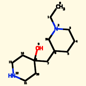 CCN1CCCC(CC2(O)CCNCC2)C1